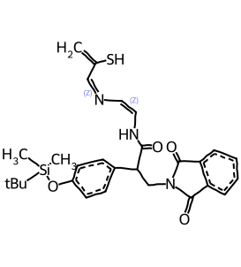 C=C(S)/C=N\C=C/NC(=O)C(CN1C(=O)c2ccccc2C1=O)c1ccc(O[Si](C)(C)C(C)(C)C)cc1